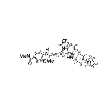 CNC(=O)c1ccc(NCC#Cc2cc3c(N[C@H]4CC[C@@H](N5CC6CC(C5)O6)CC4)cccc3n2CC(F)(F)F)c(OC)c1